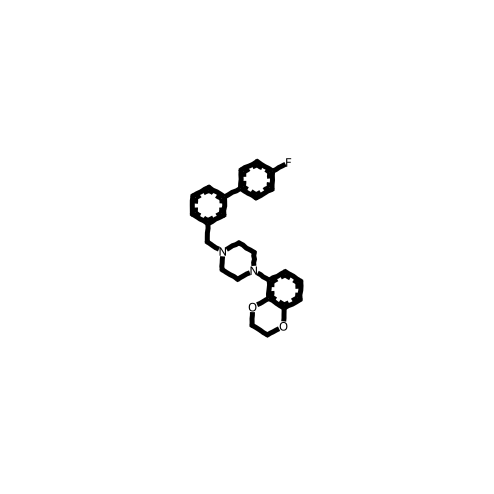 Fc1ccc(-c2cccc(CN3CCN(c4cccc5c4OCCO5)CC3)c2)cc1